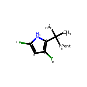 CCCCCC(C)(CCC)c1[nH]c(F)cc1F